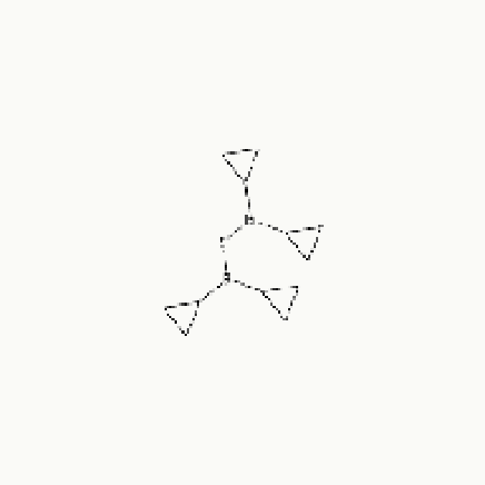 C1C[CH]1[Bi]([S][Bi]([CH]1CC1)[CH]1CC1)[CH]1CC1